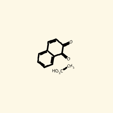 CC(=O)O.O=C1C=Cc2ccccc2C1=O